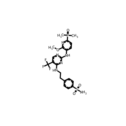 COc1nc(P(C)(C)=O)ccc1Nc1ncc(C(F)(F)F)c(NCCc2ccc(S(N)(=O)=O)cc2)n1